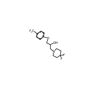 OC(COc1ccc(C(F)(F)F)cc1)CN1CCC(F)(F)CC1